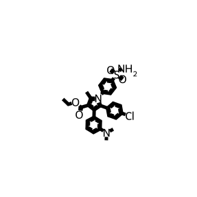 CCOC(=O)c1c(-c2cccc(N(C)C)c2)c(-c2ccc(Cl)cc2)n(-c2ccc(S(N)(=O)=O)cc2)c1C